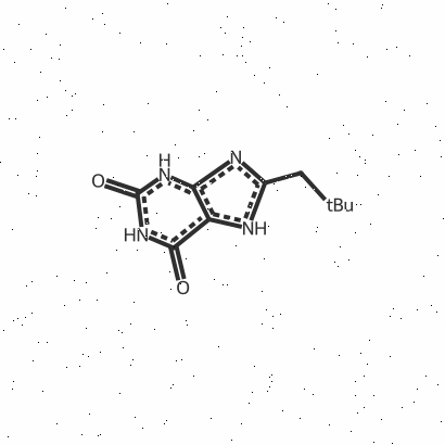 CC(C)(C)Cc1nc2[nH]c(=O)[nH]c(=O)c2[nH]1